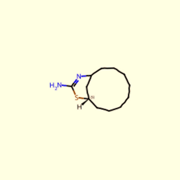 NC1=NC2CCCCCCCC[C@@H](C2)S1